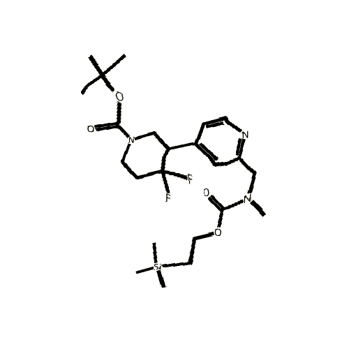 CN(Cc1cc(C2CN(C(=O)OC(C)(C)C)CCC2(F)F)ccn1)C(=O)OCC[Si](C)(C)C